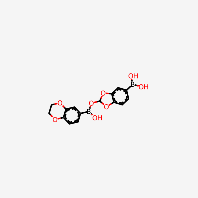 OB(O)c1ccc2c(c1)OC(OB(O)c1ccc3c(c1)OCCO3)O2